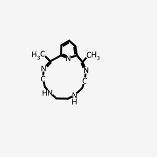 CC1=NCCNCCNCCN=C(C)c2cccc1n2